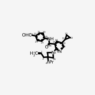 C=CCC1(CCC)CN(c2ncc(C3CC3)cc2C(=O)Nc2ccc(C=O)cc2)C1